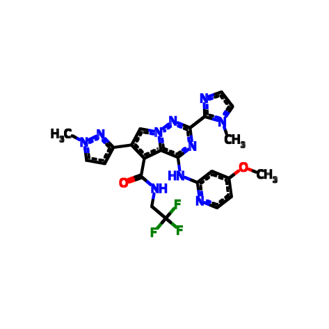 COc1ccnc(Nc2nc(-c3nccn3C)nn3cc(-c4ccn(C)n4)c(C(=O)NCC(F)(F)F)c23)c1